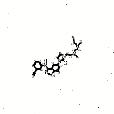 C#Cc1cccc(Nc2ncnc3ccc(-n4ccn(CCN(C)CCN(C)CC)c4=O)cc23)c1